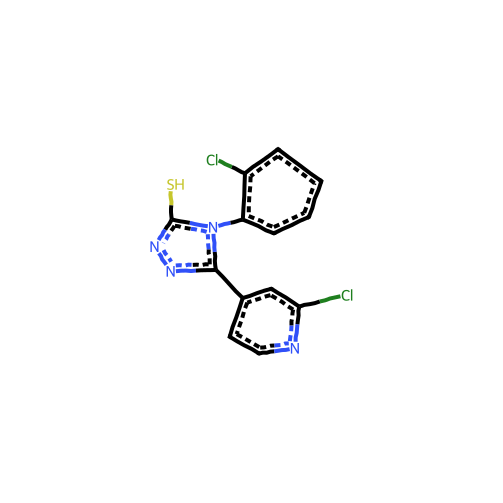 Sc1nnc(-c2ccnc(Cl)c2)n1-c1ccccc1Cl